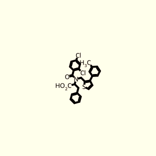 Cc1cccc(-c2ccsc2CN(C(=O)c2ccc(Cl)cc2Cl)C(Cc2ccccc2)C(=O)O)c1